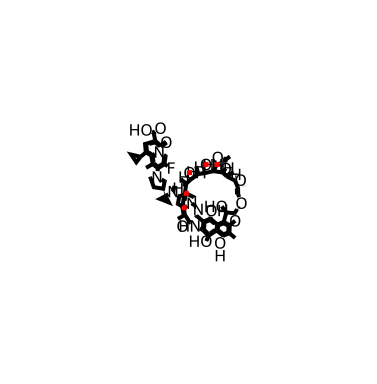 CO[C@H]1/C=C/O[C@@]2(C)Oc3c(C)c(O)c4c(O)c(c(/C=N/N5CCC(N(C)C6([C@@H]7CCN(c8c(F)cn9c(=O)c(C(=O)O)cc(C%10CC%10)c9c8C)C7)CC6)CC5)c(O)c4c3C2O)NC(=O)/C(C)=C\C=C\[C@H](C)[C@H](O)[C@@H](C)[C@@H](O)[C@@H](C)[C@H](OC(C)=O)[C@@H]1C